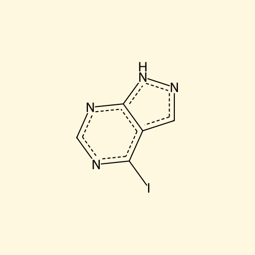 Ic1ncnc2[nH]ncc12